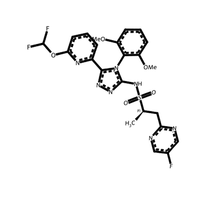 COc1cccc(OC)c1-n1c(NS(=O)(=O)[C@H](C)Cc2ncc(F)cn2)nnc1-c1cccc(OC(F)F)n1